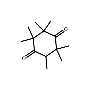 CC1C(=O)C(C)(C)C(C)(C)C(=O)C1(C)C